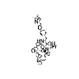 Cc1nc(COc2ccc(CC(NC(=O)OC3COC4OCCC34)C(O)CN(CC(C)C)S(=O)(=O)c3ccc4occc4c3)cc2)cs1